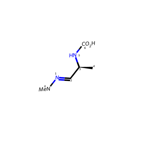 CN/N=C/[C@H](C)NC(=O)O